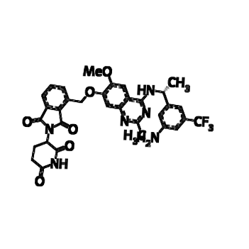 COc1cc2c(N[C@H](C)c3cc(N)cc(C(F)(F)F)c3)nc(C)nc2cc1OCc1cccc2c1C(=O)N(C1CCC(=O)NC1=O)C2=O